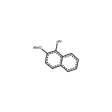 CC[CH]c1c(OC)ccc2ccccc12